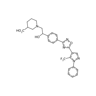 O=C(O)C1CCCN(CC(O)c2ccc(-c3noc(-c4cnn(-c5ccccc5)c4C(F)(F)F)n3)cc2)C1